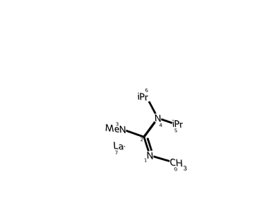 CN=C(NC)N(C(C)C)C(C)C.[La]